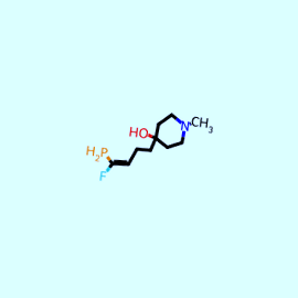 CN1CCC(O)(CC/C=C(/F)P)CC1